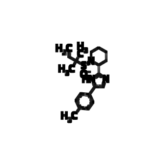 C=CC(C)(C)[S+]([O-])N1CCCCC1c1ncc(-c2ccc(C)cc2)[nH]1